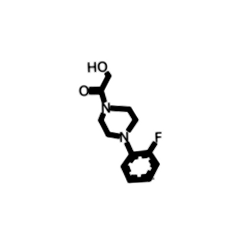 O=C(CO)N1CCN(c2cc[c]cc2F)CC1